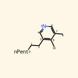 CCCCCCCc1[c]ncc(C)c1C